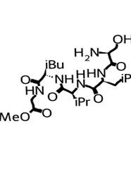 CC[C@H](C)[C@H](NC(=O)[C@@H](NC(=O)[C@H](CC(C)C)NC(=O)[C@@H](N)CO)C(C)C)C(=O)NCC(=O)OC